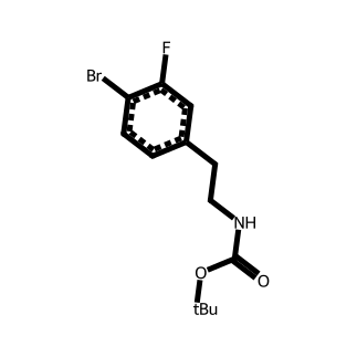 CC(C)(C)OC(=O)NCCc1ccc(Br)c(F)c1